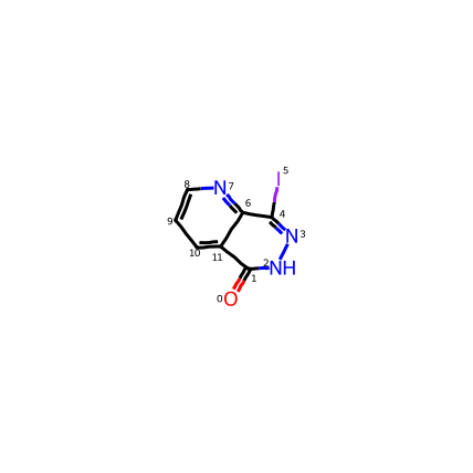 O=c1[nH]nc(I)c2ncccc12